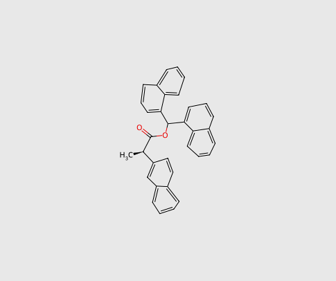 C[C@@H](C(=O)OC(c1cccc2ccccc12)c1cccc2ccccc12)c1ccc2ccccc2c1